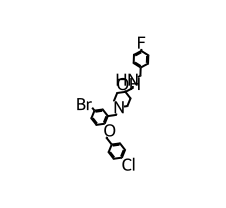 OC1(CNCc2ccc(F)cc2)CCN(Cc2cc(Br)ccc2OCc2ccc(Cl)cc2)CC1